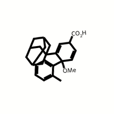 COC1(c2ccccc2C)C=CC(C(=O)O)C=C1C12CC3CC(CC(C3)C1)C2